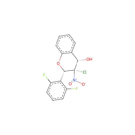 O=[N+]([O-])[C@]1(Cl)[C@@H](O)c2ccccc2O[C@H]1c1c(F)cccc1F